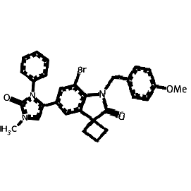 COc1ccc(CN2C(=O)C3(CCC3)c3cc(-c4cn(C)c(=O)n4-c4ccccc4)cc(Br)c32)cc1